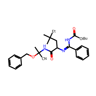 CCC(C)(C)CC(/N=C(\NC(=O)OCC(C)C)c1ccccc1)C(=O)NC(C)(C#N)OCc1ccccc1